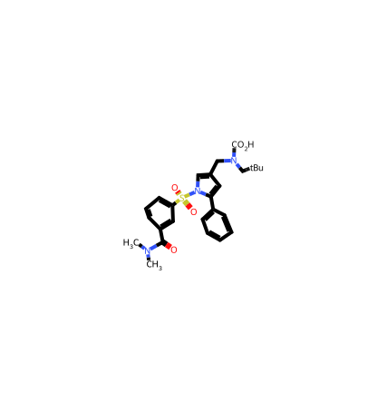 CN(C)C(=O)c1cccc(S(=O)(=O)n2cc(CN(CC(C)(C)C)C(=O)O)cc2-c2ccccc2)c1